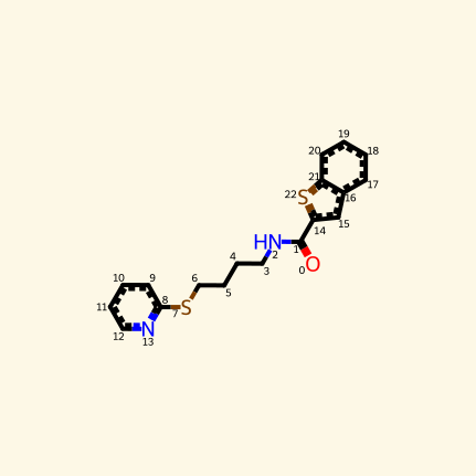 O=C(NCCCCSc1ccccn1)c1cc2ccccc2s1